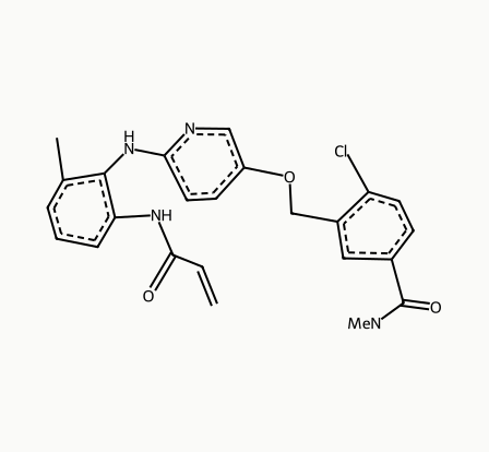 C=CC(=O)Nc1cccc(C)c1Nc1ccc(OCc2cc(C(=O)NC)ccc2Cl)cn1